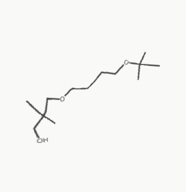 CC(C)(CO)COCCCCOC(C)(C)C